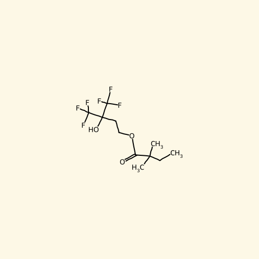 CCC(C)(C)C(=O)OCCC(O)(C(F)(F)F)C(F)(F)F